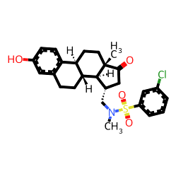 CN(C[C@H]1CC(=O)[C@@]2(C)CC[C@@H]3c4ccc(O)cc4CC[C@H]3[C@H]12)S(=O)(=O)c1cccc(Cl)c1